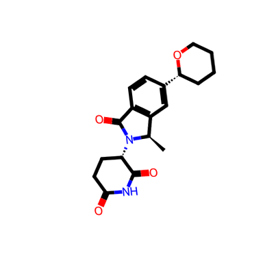 C[C@@H]1c2cc([C@H]3CCCCO3)ccc2C(=O)N1[C@H]1CCC(=O)NC1=O